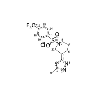 Cc1nnc(C2CCCN(S(=O)(=O)c3ccc(C(F)(F)F)cc3Cl)C2)s1